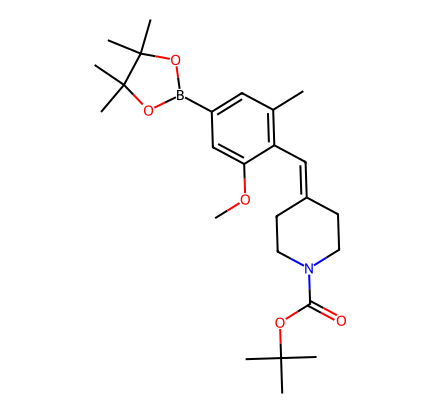 COc1cc(B2OC(C)(C)C(C)(C)O2)cc(C)c1C=C1CCN(C(=O)OC(C)(C)C)CC1